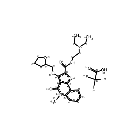 CCN(CC)CCNC(=O)c1sc2c(c1OCC1CCCO1)c(=O)n(C)c1ccccc21.O=C(O)C(F)(F)F